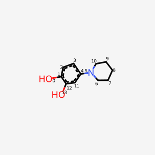 Oc1ccc(N2CCCCC2)cc1O